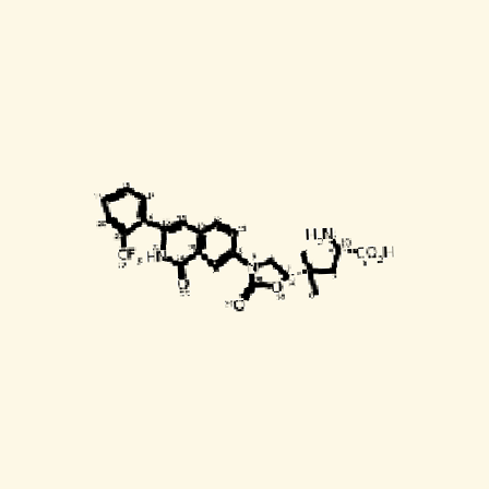 CC(C)(C[C@H](N)C(=O)O)[C@H]1CN(c2ccc3cc(-c4ccccc4C(F)(F)F)[nH]c(=O)c3c2)C(=O)O1